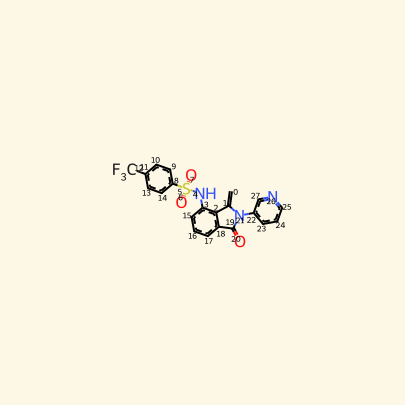 C=C1c2c(NS(=O)(=O)c3ccc(C(F)(F)F)cc3)cccc2C(=O)N1c1cccnc1